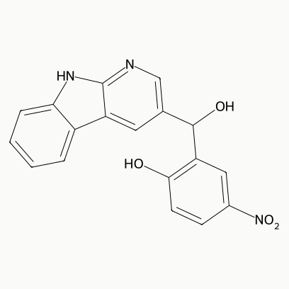 O=[N+]([O-])c1ccc(O)c(C(O)c2cnc3[nH]c4ccccc4c3c2)c1